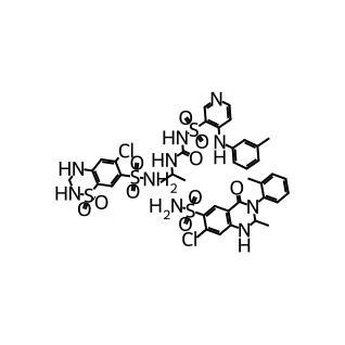 Cc1cccc(Nc2ccncc2S(=O)(=O)NC(=O)NC(C)C)c1.Cc1ccccc1N1C(=O)c2cc(S(N)(=O)=O)c(Cl)cc2NC1C.NS(=O)(=O)c1cc2c(cc1Cl)NCNS2(=O)=O